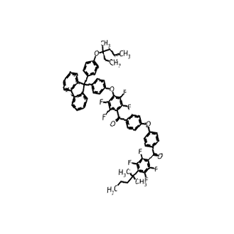 CCCC(C)(CC)Oc1ccc(C2(c3ccc(Oc4c(F)c(F)c(C(=O)c5ccc(Oc6ccc(C(=O)c7c(F)c(F)c(C(C)(C)CCC)c(F)c7F)cc6)cc5)c(F)c4F)cc3)c3ccccc3-c3ccccc32)cc1